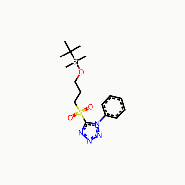 CC(C)(C)[Si](C)(C)OCCCS(=O)(=O)c1nnnn1-c1ccccc1